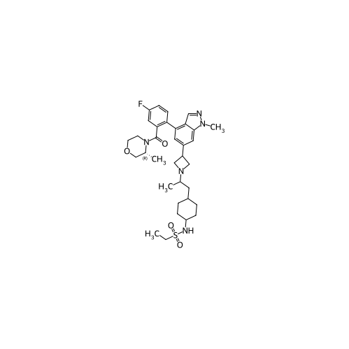 CCS(=O)(=O)NC1CCC(CC(C)N2CC(c3cc(-c4ccc(F)cc4C(=O)N4CCOC[C@H]4C)c4cnn(C)c4c3)C2)CC1